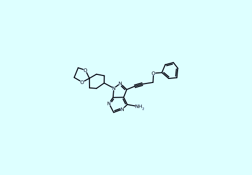 Nc1ncnc2c1c(C#CCOc1ccccc1)nn2C1CCC2(CC1)OCCO2